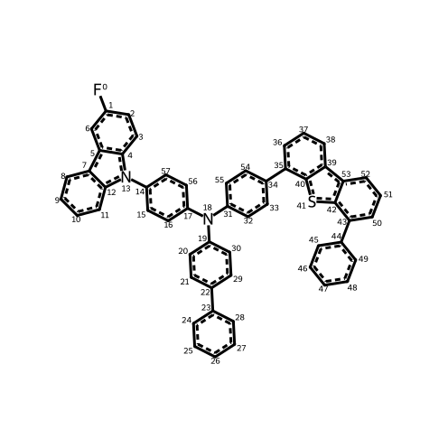 Fc1ccc2c(c1)c1ccccc1n2-c1ccc(N(c2ccc(-c3ccccc3)cc2)c2ccc(-c3cccc4c3sc3c(-c5ccccc5)cccc34)cc2)cc1